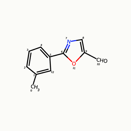 Cc1cccc(-c2ncc(C=O)o2)c1